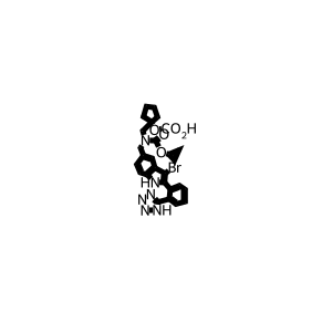 O=C(O)OC1(CN(Cc2ccc3[nH]c(-c4ccccc4-c4nnn[nH]4)c(Br)c3c2)C(=O)OC2CC2)CCCC1